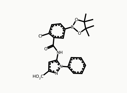 CC1(C)OB(c2ccc(Cl)c(C(=O)Nc3cc(C(=O)O)nn3-c3ccccc3)c2)OC1(C)C